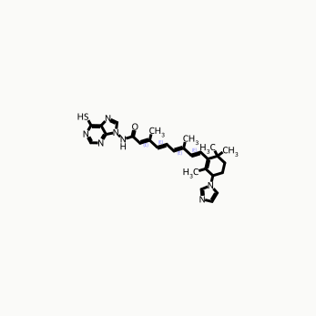 CC1=C(/C=C/C(C)=C/C=C/C(C)=C/C(=O)Nn2cnc3c(S)ncnc32)C(C)(C)CCC1n1ccnc1